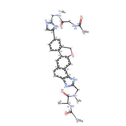 CCCN(Cc1nc2ccc3cc4c(cc3c2[nH]1)OCc1cc(-c2cnc(CN(C(=O)CNC(=O)OC)[C@@H](C)CC)[nH]2)ccc1-4)C(=O)C(NC(=O)OC)C(C)C